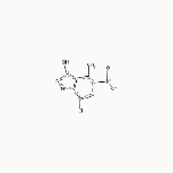 Cc1c([N+](=O)[O-])cc(Cl)c2nnn(O)c12